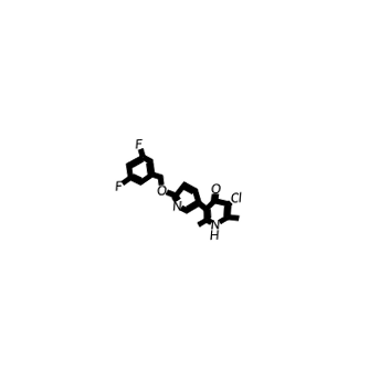 Cc1[nH]c(C)c(-c2ccc(OCc3cc(F)cc(F)c3)nc2)c(=O)c1Cl